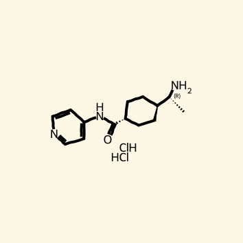 C[C@@H](N)[C@H]1CC[C@H](C(=O)Nc2ccncc2)CC1.Cl.Cl